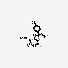 COC(=O)[C@@H]1OC(CC(C)C)(c2ccc(Cl)cc2)O[C@H]1C(=O)OC